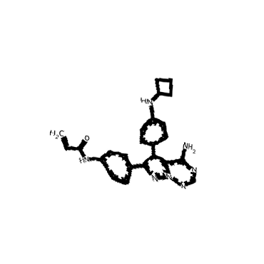 C=CC(=O)Nc1ccc(-c2nn3ncnc(N)c3c2-c2ccc(NC3CCC3)cc2)cc1